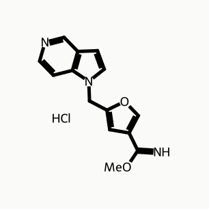 COC(=N)c1coc(Cn2ccc3cnccc32)c1.Cl